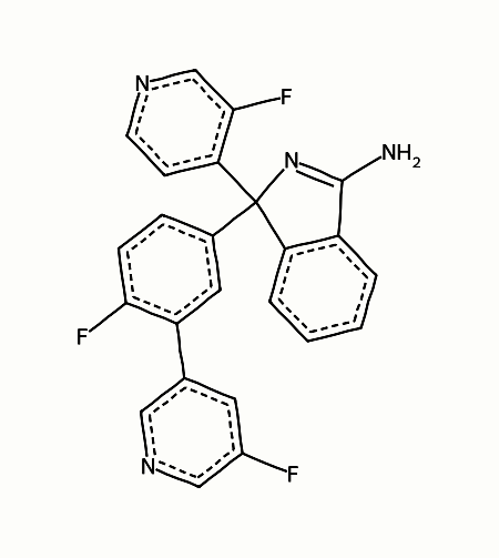 NC1=NC(c2ccc(F)c(-c3cncc(F)c3)c2)(c2ccncc2F)c2ccccc21